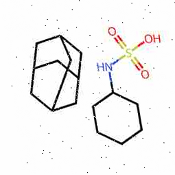 C1C2CC3CC1CC(C2)C3.O=S(=O)(O)NC1CCCCC1